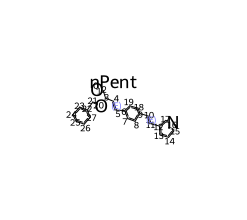 CCCCCOCC(/C=C/c1ccc(/C=C/c2cccnc2)cc1)OCc1ccccc1